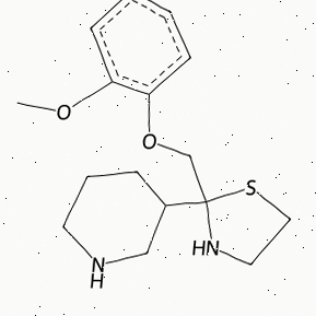 COc1ccccc1OCC1(C2CCCNC2)NCCS1